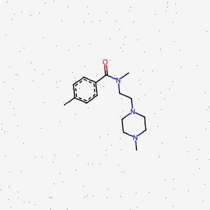 Cc1ccc(C(=O)N(C)CCN2CCN(C)CC2)cc1